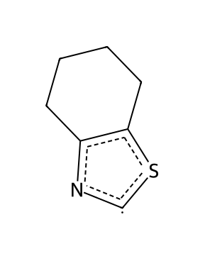 [c]1nc2c(s1)CCCC2